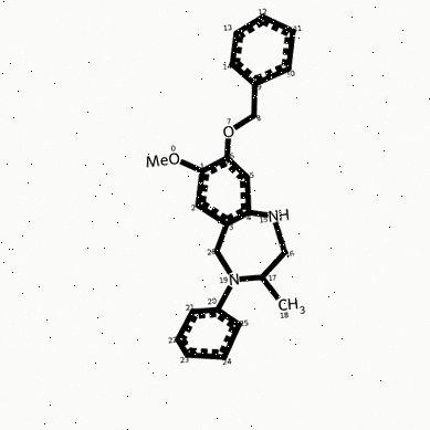 COc1cc2c(cc1OCc1ccccc1)NCC(C)N(c1ccccc1)C2